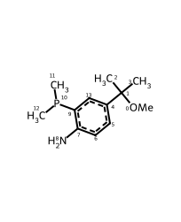 COC(C)(C)c1ccc(N)c(P(C)C)c1